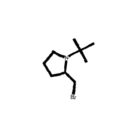 CC(C)(C)N1CCCC1CBr